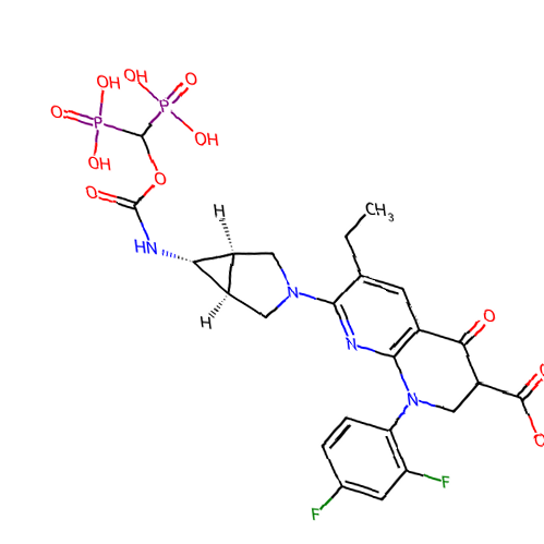 CCc1cc2c(nc1N1C[C@@H]3[C@H](C1)[C@H]3NC(=O)OC(P(=O)(O)O)P(=O)(O)O)N(c1ccc(F)cc1F)CC(C(=O)O)C2=O